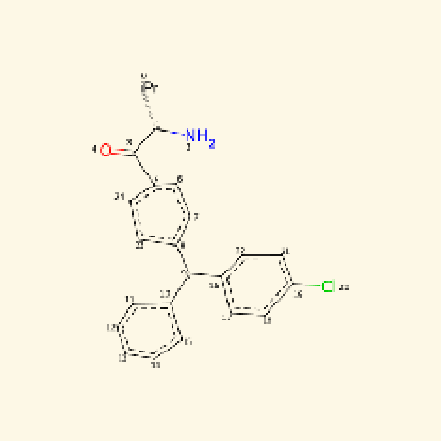 CC(C)[C@H](N)C(=O)c1ccc([C](c2ccccc2)c2ccc(Cl)cc2)cc1